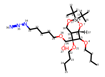 CCCCOC1[C@H]2O[Si](C(C)(C)C)(C(C)(C)C)OCC2[C@@]1(OCCCC)[C@H](O)OCCCCCN=[N+]=[N-]